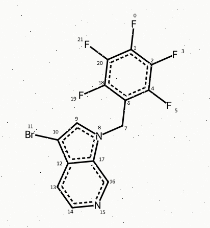 Fc1c(F)c(F)c(Cn2cc(Br)c3ccncc32)c(F)c1F